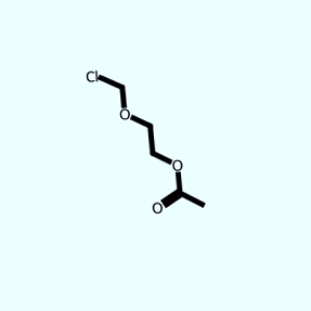 CC(=O)OCCOCCl